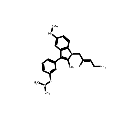 CSNc1ccc2c(c1)c(-c1cccc(SN(C)C)c1)c(C)n2C/C(F)=C/CN